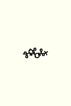 COC(=O)c1ccc(=O)n(C2=CCCN(C(=O)OC(C)(C)C)C2)n1